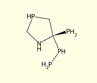 PP[C@@]1(P)CPCN1